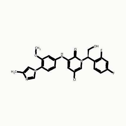 COc1cc(Nc2cc(Cl)cn([C@@H](CO)c3ccc(F)cc3F)c2=O)ccc1-n1cnc(C)c1